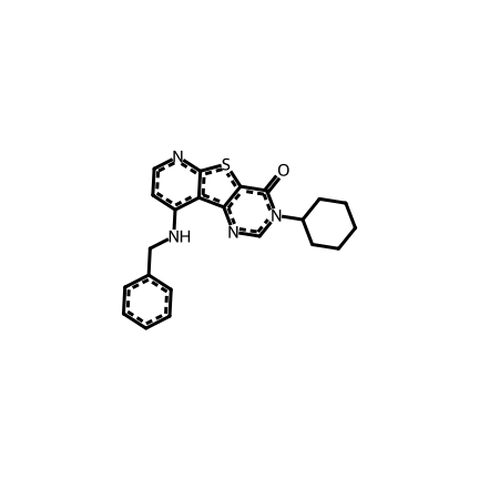 O=c1c2sc3nccc(NCc4ccccc4)c3c2ncn1C1CCCCC1